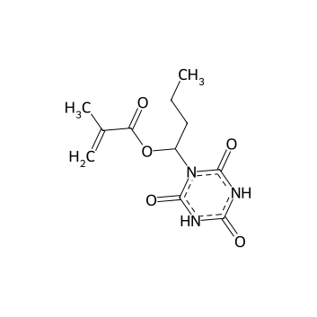 C=C(C)C(=O)OC(CCC)n1c(=O)[nH]c(=O)[nH]c1=O